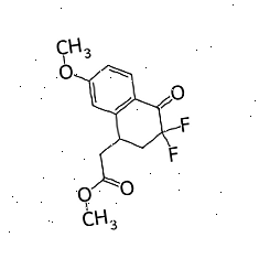 COC(=O)CC1CC(F)(F)C(=O)c2ccc(OC)cc21